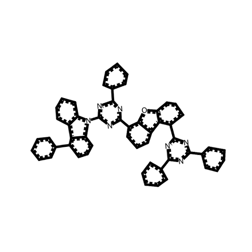 c1ccc(-c2nc(-c3ccccc3)nc(-c3cccc4oc5c(-c6nc(-c7ccccc7)nc(-n7c8ccccc8c8c(-c9ccccc9)cccc87)n6)cccc5c34)n2)cc1